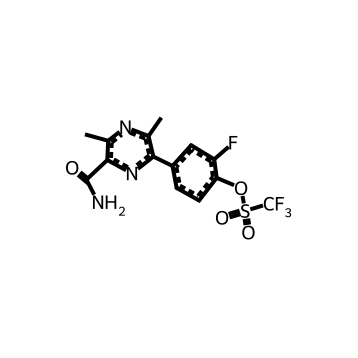 Cc1nc(C)c(-c2ccc(OS(=O)(=O)C(F)(F)F)c(F)c2)nc1C(N)=O